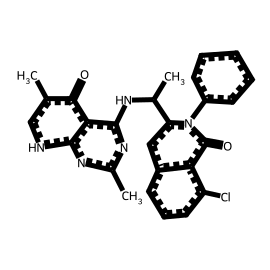 Cc1nc(NC(C)c2cc3cccc(Cl)c3c(=O)n2-c2ccccc2)c2c(=O)c(C)c[nH]c2n1